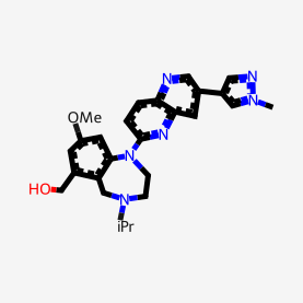 COc1cc(CO)c2c(c1)N(c1ccc3ncc(-c4cnn(C)c4)cc3n1)CCN(C(C)C)C2